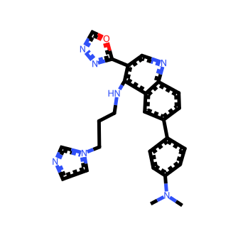 CN(C)c1ccc(-c2ccc3ncc(-c4nnco4)c(NCCCn4ccnc4)c3c2)cc1